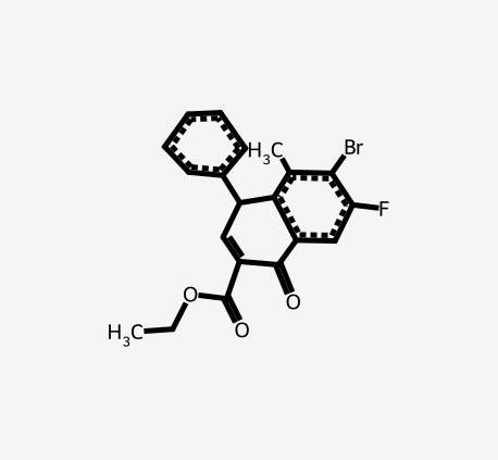 CCOC(=O)C1=CC(c2ccccc2)c2c(cc(F)c(Br)c2C)C1=O